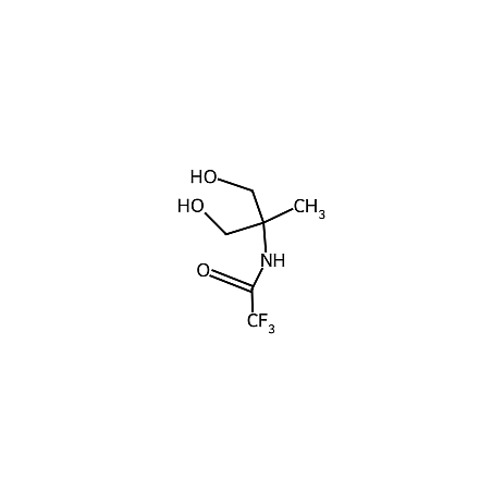 CC(CO)(CO)NC(=O)C(F)(F)F